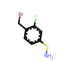 NSc1ccc(CBr)c(F)c1